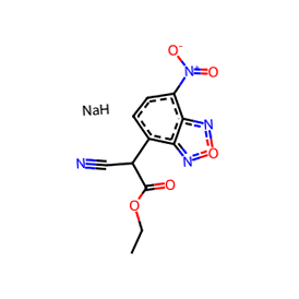 CCOC(=O)C(C#N)c1ccc([N+](=O)[O-])c2nonc12.[NaH]